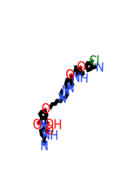 CC1(C)C(NC(=O)c2ccc(N3CCN(CCCCCOc4ccc5c(c4)C(O)N(c4ccc(C#N)[nH]c4=O)C5=O)CC3)nc2)C(C)(C)C1Oc1ccc(C#N)c(Cl)c1